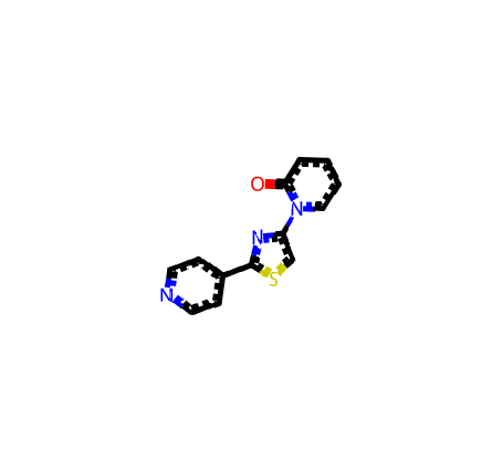 O=c1ccccn1-c1csc(-c2ccncc2)n1